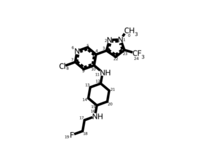 Cn1nc(-c2cnc(Cl)cc2NC2CCC(NCCF)CC2)cc1C(F)(F)F